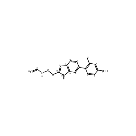 Cc1cc(O)ccc1-c1ccc2cc(CCOC=O)[nH]c2c1